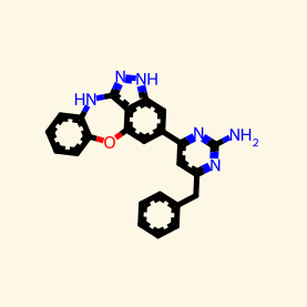 Nc1nc(Cc2ccccc2)cc(-c2cc3c4c(n[nH]c4c2)Nc2ccccc2O3)n1